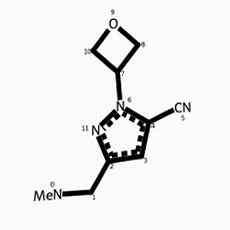 CNCc1cc(C#N)n(C2COC2)n1